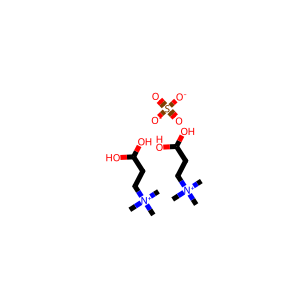 C[N+](C)(C)CCC(O)O.C[N+](C)(C)CCC(O)O.O=S(=O)([O-])[O-]